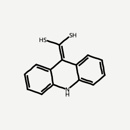 SC(S)=C1c2ccccc2Nc2ccccc21